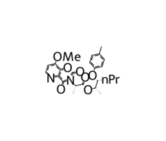 CCC[C@@H](Oc1ccc(C)cc1)[C@H](C)OC(=O)[C@H](C)n1c(=O)oc2c(OC)ccnc2c1=O